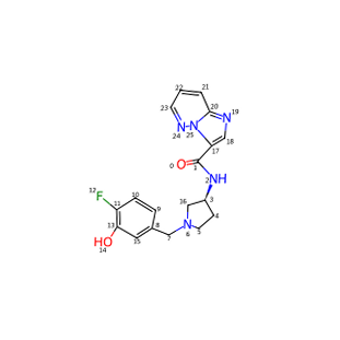 O=C(N[C@H]1CCN(Cc2ccc(F)c(O)c2)C1)c1cnc2cccnn12